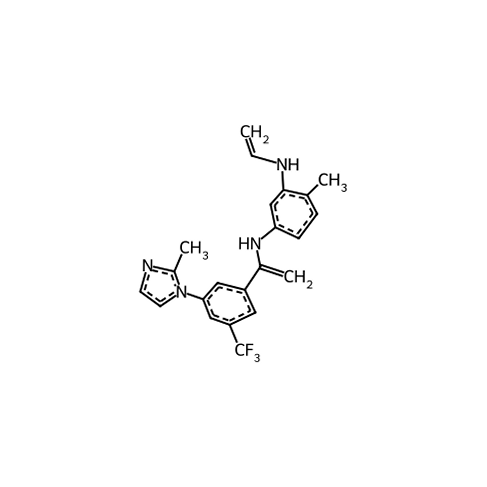 C=CNc1cc(NC(=C)c2cc(-n3ccnc3C)cc(C(F)(F)F)c2)ccc1C